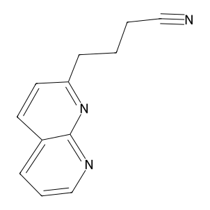 N#CCCCc1ccc2cccnc2n1